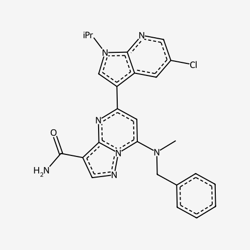 CC(C)n1cc(-c2cc(N(C)Cc3ccccc3)n3ncc(C(N)=O)c3n2)c2cc(Cl)cnc21